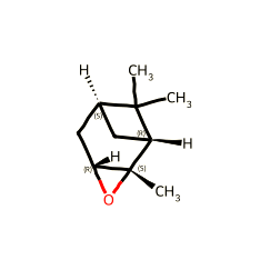 CC1(C)[C@H]2C[C@H]1[C@]1(C)O[C@@H]1C2